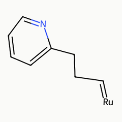 [Ru]=[CH]CCc1ccccn1